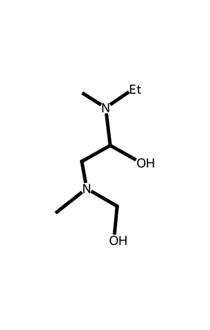 CCN(C)C(O)CN(C)CO